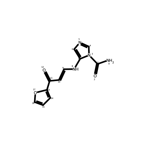 NC(=O)n1cncc1NC=CC(=O)c1ccco1